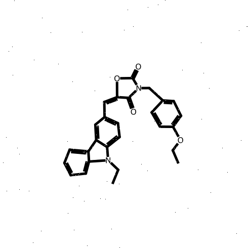 CCOc1ccc(CN2C(=O)O/C(=C/c3ccc4c(c3)c3ccccc3n4CC)C2=O)cc1